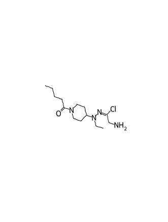 CCCCC(=O)N1CCC(N(CC)/N=C(/Cl)CN)CC1